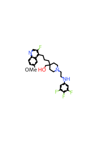 COc1ccc2ncc(F)c(CCCC3(CO)CCN(CCNc4cc(F)c(F)c(F)c4)CC3)c2c1